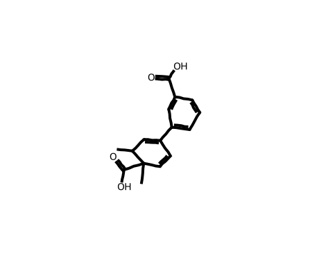 CC1C=C(c2cccc(C(=O)O)c2)C=CC1(C)C(=O)O